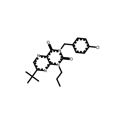 CCCn1c(=O)n(Cc2ccc(Cl)cc2)c(=O)c2ncc(C(C)(C)C)nc21